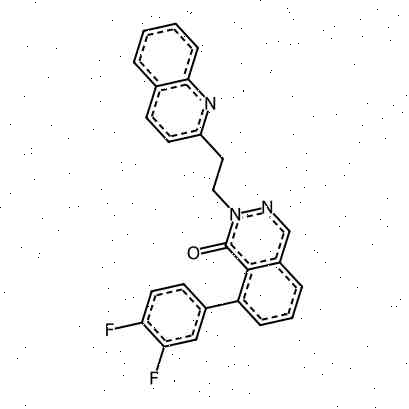 O=c1c2c(-c3ccc(F)c(F)c3)cccc2cnn1CCc1ccc2ccccc2n1